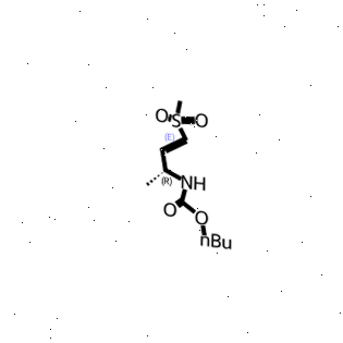 CCCCOC(=O)N[C@H](C)/C=C/S(C)(=O)=O